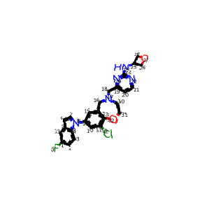 Fc1ccc2c(ccn2-c2cc(Cl)c3c(c2)CN(Cc2ccnc(NC4COC4)n2)CCO3)c1